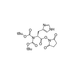 CC(C)(C)OC(=O)N(C(=O)OC(C)(C)C)[C@@H](Cc1c[nH]cn1)C(=O)ON1C(=O)CCC1=O